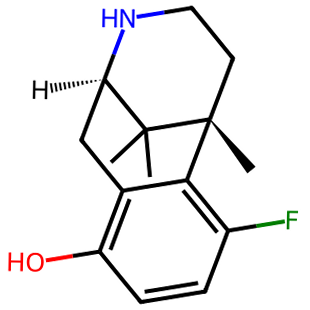 CC1(C)[C@H]2Cc3c(O)ccc(F)c3[C@@]1(C)CCN2